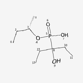 CC[C@H](C)OP(=O)(O)C(O)(CC)CC